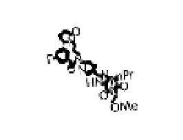 CCCn1c(=O)n(CCOC)c(=O)c2[nH]c(-c3ccc(N(CCCN4CCCC4=O)C(=O)c4cccc(F)c4)nc3)nc21